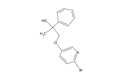 CC(O)(COc1ccc(Br)nc1)c1ccccc1